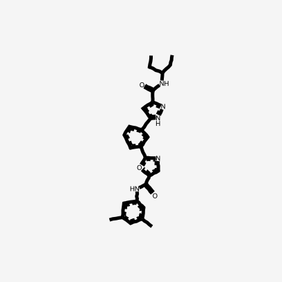 CCC(CC)NC(=O)c1cc(-c2cccc(-c3ncc(C(=O)Nc4cc(C)cc(C)c4)o3)c2)[nH]n1